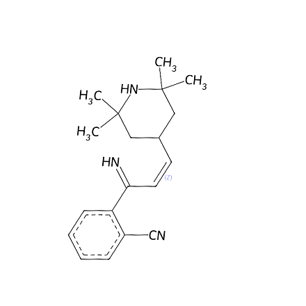 CC1(C)CC(/C=C\C(=N)c2ccccc2C#N)CC(C)(C)N1